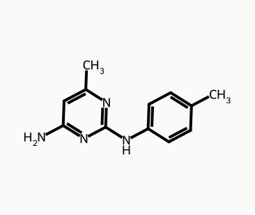 Cc1ccc(Nc2nc(C)cc(N)n2)cc1